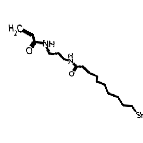 C=CC(=O)NCCCNC(=O)CCCCCCCCCS